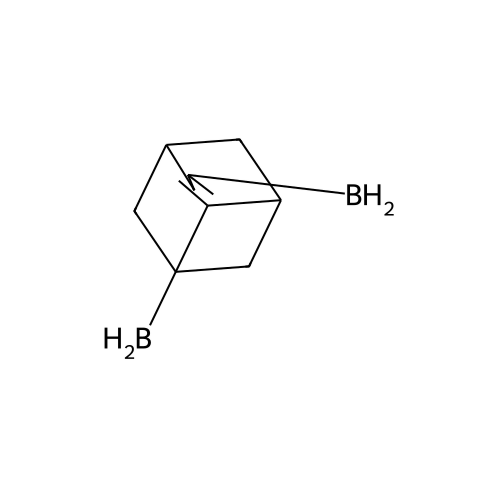 BC1=C2C3CC(C1)CC2(B)C3